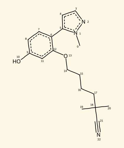 Cn1nccc1-c1ccc(O)cc1OCCCCC(C)(C)C#N